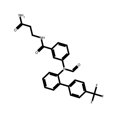 NC(=O)CCNC(=O)c1cccc(N(C=O)c2ccccc2-c2ccc(C(F)(F)F)cc2)c1